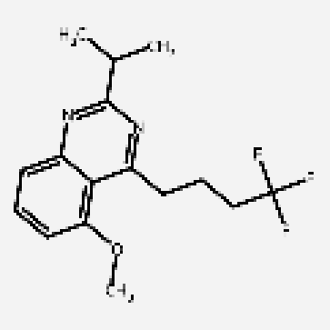 COc1cccc2nc(C(C)C)nc(CCCC(F)(F)F)c12